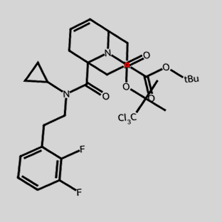 CC(C)(C)OC(=O)N1CC2C=CCC(C(=O)N(CCc3cccc(F)c3F)C3CC3)(C1)N2C(=O)OC(C)(C)C(Cl)(Cl)Cl